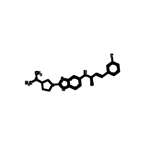 CN(C)C1CCN(c2nc3ccc(NC(=O)C=Cc4cccc(F)c4)cc3s2)C1